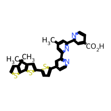 Cc1cc(-c2cc(C(=O)O)ccn2)nc(-c2cc(-c3ccc(-c4cc5c(s4)-c4sccc4C5(C)C)s3)ccn2)c1